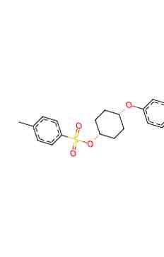 Cc1ccc(S(=O)(=O)O[C@H]2CC[C@@H](Oc3ccccc3)CC2)cc1